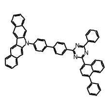 c1ccc(-c2nc(-c3ccc(-c4ccc(-n5c6cc7ccccc7cc6c6cc7ccccc7cc65)cc4)cc3)nc(-c3ccc(-c4ccccc4)c4ccccc34)n2)cc1